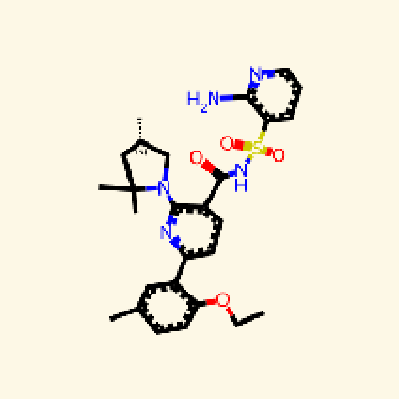 CCOc1ccc(C)cc1-c1ccc(C(=O)NS(=O)(=O)c2cccnc2N)c(N2C[C@@H](C)CC2(C)C)n1